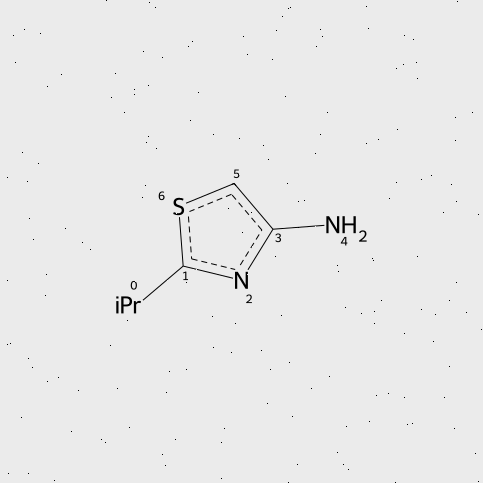 CC(C)c1nc(N)cs1